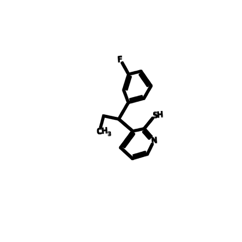 CCC(c1cccc(F)c1)c1cccnc1S